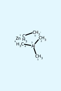 [CH2]C.[CH3][Al]([CH3])[CH3].[Zn]